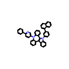 c1ccc(-c2ccc(N3c4ccccc4-c4c(n(-c5cccc(-c6cccc7ccccc67)c5)c5ccccc45)-c4ccccc43)cn2)cc1